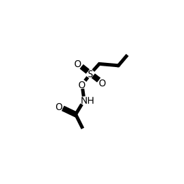 CCCS(=O)(=O)ONC(C)=O